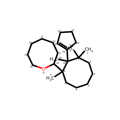 CC1(C)CCCCCC(C)(C2CCCCCCO2)C1(C)C1=CCCC1